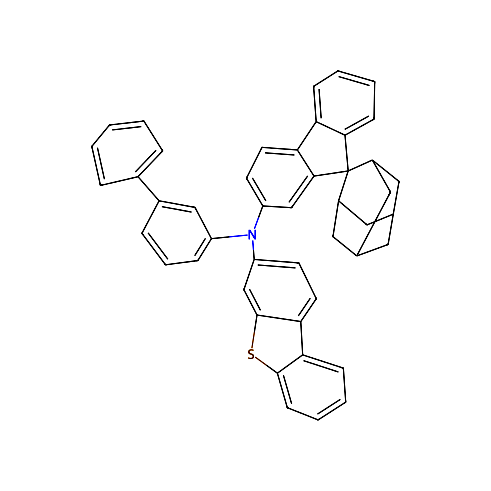 c1ccc(-c2cccc(N(c3ccc4c(c3)C3(c5ccccc5-4)C4CC5CC(C4)CC3C5)c3ccc4c(c3)sc3ccccc34)c2)cc1